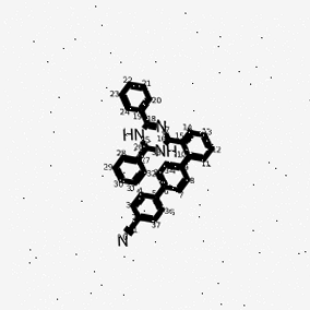 N#Cc1ccc(-c2ccc(-c3ccccc3C3N=C(c4ccccc4)NC(c4ccccc4)N3)cc2)cc1